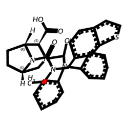 CCN(Cc1ccc2ccsc2c1)C(=O)N1[C@H]2CC[C@@H]1[C@@H](C(=O)O)N(C(O)N(c1ccccc1)c1ccccc1)C2